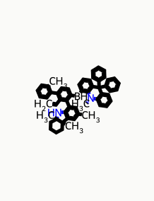 C=Cc1c(-c2ccccc2C)ccc(Bc2cccc3c2N(C)c2ccccc2C3(c2ccccc2)c2ccccc2)c1-c1cc(C)cc2c1NC1(C)CCCCC21C